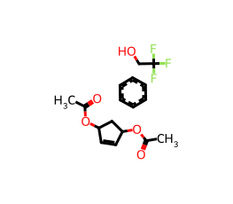 CC(=O)OC1C=CC(OC(C)=O)C1.OCC(F)(F)F.c1ccccc1